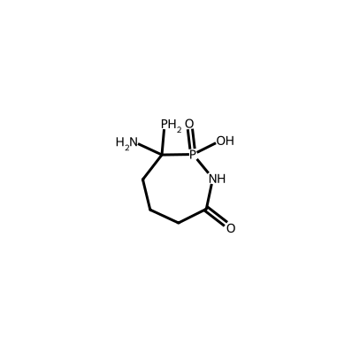 NC1(P)CCCC(=O)NP1(=O)O